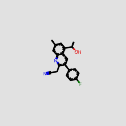 Cc1cc(C(C)O)c2cc(-c3ccc(F)cc3)c(CC#N)nc2c1